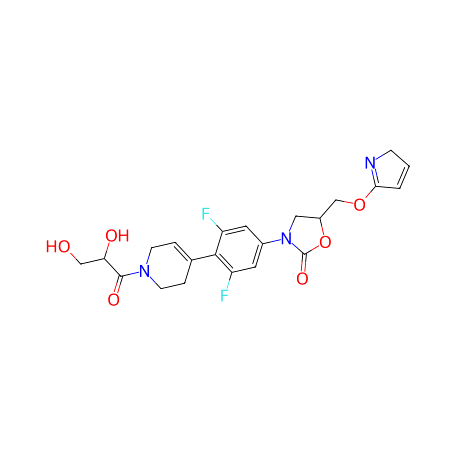 O=C(C(O)CO)N1CC=C(c2c(F)cc(N3CC(COC4=NCC=C4)OC3=O)cc2F)CC1